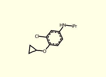 CC(C)Nc1ccc(OC2CC2)c(Cl)c1